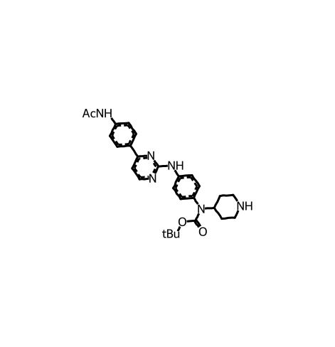 CC(=O)Nc1ccc(-c2ccnc(Nc3ccc(N(C(=O)OC(C)(C)C)C4CCNCC4)cc3)n2)cc1